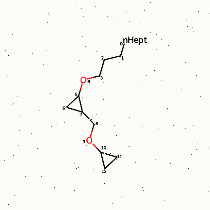 [CH2]CCCCCCCCCOC1CC1COC1[CH]C1